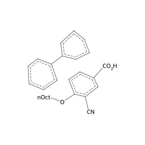 CCCCCCCCOc1ccc(C(=O)O)cc1C#N.c1ccc(-c2ccccc2)cc1